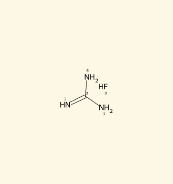 F.N=C(N)N